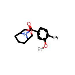 CCOc1cc(C(=O)N2C3CCCC2COC3)ccc1C(C)C